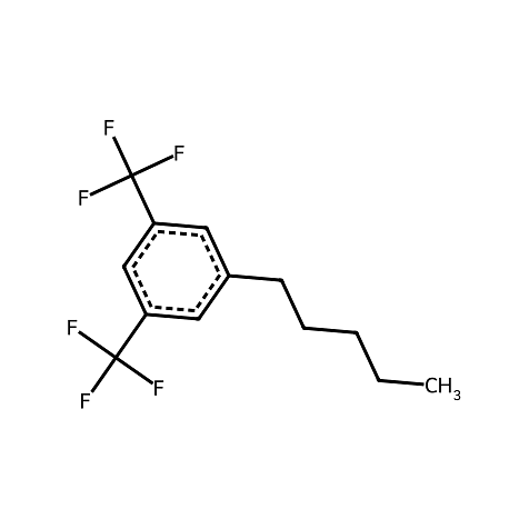 CCCCCc1cc(C(F)(F)F)cc(C(F)(F)F)c1